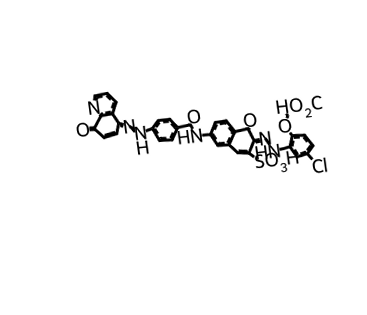 O=C(O)COc1ccc(Cl)cc1NN=C1C(=O)c2ccc(NC(=O)c3ccc(NN=C4C=CC(=O)c5ncccc54)cc3)cc2C=C1S(=O)(=O)O